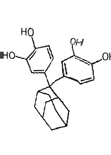 Oc1ccc(C2(c3ccc(O)c(O)c3)C3CC4CC(C3)CC2C4)cc1O